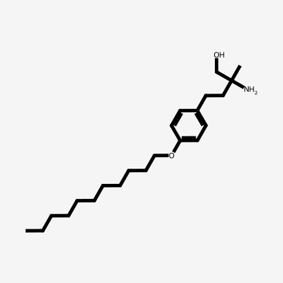 CCCCCCCCCCCOc1ccc(CCC(C)(N)CO)cc1